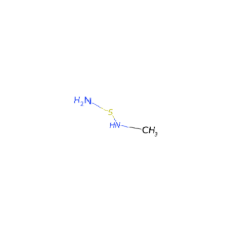 CNSN